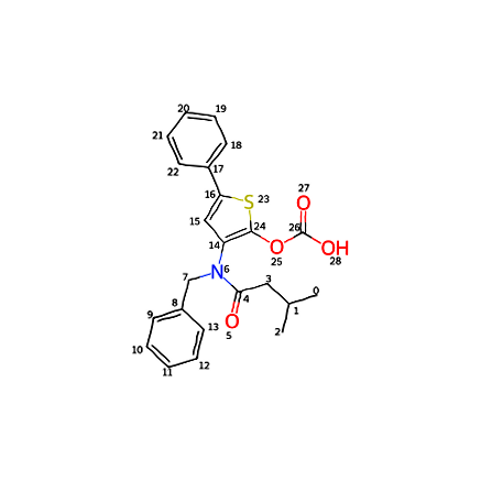 CC(C)CC(=O)N(Cc1ccccc1)c1cc(-c2ccccc2)sc1OC(=O)O